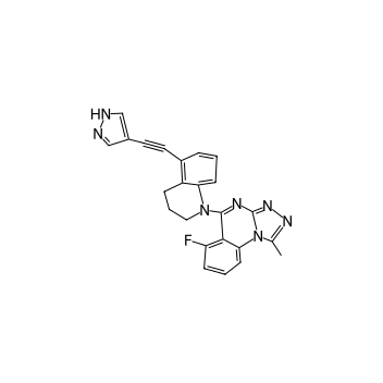 Cc1nnc2nc(N3CCCc4c(C#Cc5cn[nH]c5)cccc43)c3c(F)cccc3n12